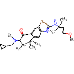 CCN(CC1CC1)C1C(=O)c2cc3sc(NC(C)(C)CCOC(C)(C)C)nc3cc2C(C)(C)[C@H]1C